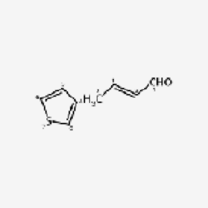 CC=CC=O.c1ccsc1